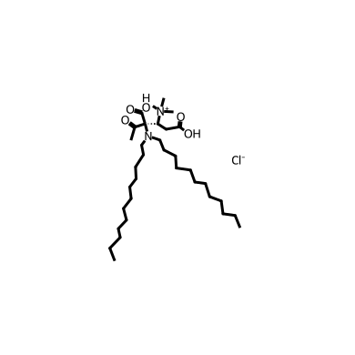 CCCCCCCCCCCCN(CCCCCCCCCCCC)[C@@](C(C)=O)(C(=O)O)C(CC(=O)O)[N+](C)(C)C.[Cl-]